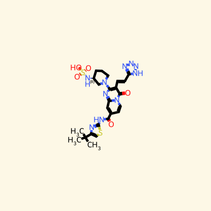 CC(C)(C)c1csc(NC(=O)c2ccn3c(=O)c(C=Cc4nnn[nH]4)c(N4CCC[C@@H](NS(=O)(=O)O)C4)nc3c2)n1